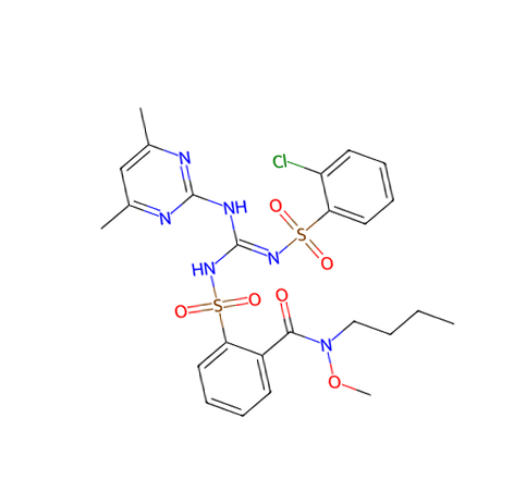 CCCCN(OC)C(=O)c1ccccc1S(=O)(=O)NC(=NS(=O)(=O)c1ccccc1Cl)Nc1nc(C)cc(C)n1